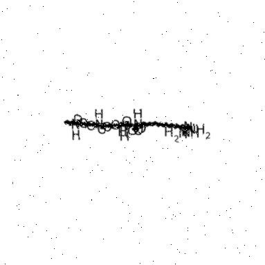 CCCCNC(=O)COCCOCCNC(=O)COCCOCCNC(=O)CC[C@H](NC(=O)CCCCCCCCCCCCCCC/C(=N/N)NN)C(=O)O